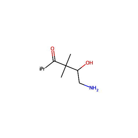 CC(C)C(=O)C(C)(C)C(O)CN